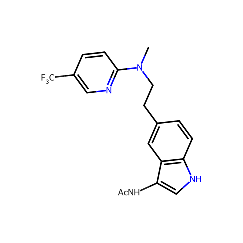 CC(=O)Nc1c[nH]c2ccc(CCN(C)c3ccc(C(F)(F)F)cn3)cc12